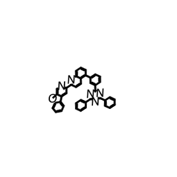 c1ccc(-c2nc(-c3ccccc3)nc(-c3cccc(-c4cccc5nc(-c6cc7c(cn6)oc6ccccc67)ccc45)c3)n2)cc1